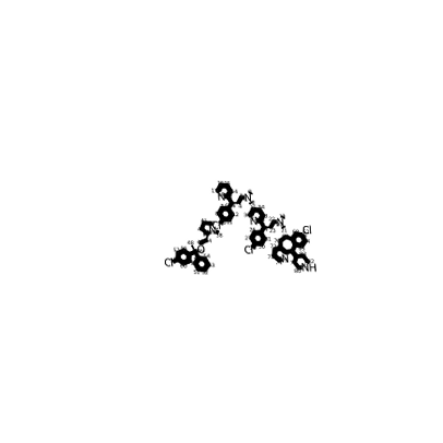 CN(C)CC[C@@H](c1ccc(Cl)cc1)c1ccccn1.CN(C)CC[C@@H](c1ccc(Cl)cc1)c1ccccn1.CN1CCC[C@@H]1CCO[C@](C)(c1ccccc1)c1ccc(Cl)cc1.Clc1ccc2c(c1)CCc1cccnc1C2=C1CCNCC1